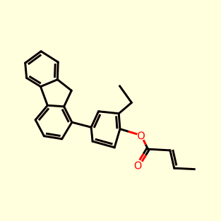 CC=CC(=O)Oc1ccc(-c2cccc3c2Cc2ccccc2-3)cc1CC